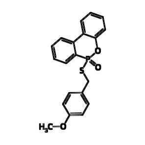 COc1ccc(CSP2(=O)Oc3ccccc3-c3ccccc32)cc1